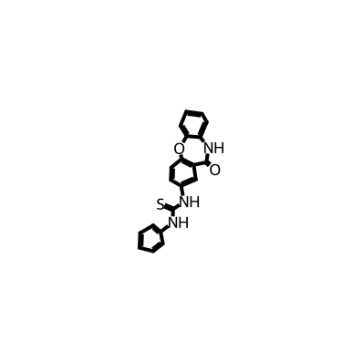 O=C1Nc2ccccc2Oc2ccc(NC(=S)Nc3ccccc3)cc21